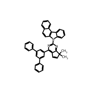 CC1(C)C=Cc2c(-c3cc(-c4ccccc4)cc(-c4ccccc4)c3)nc(-n3c4ccccc4c4c5ccccc5ccc43)nc21